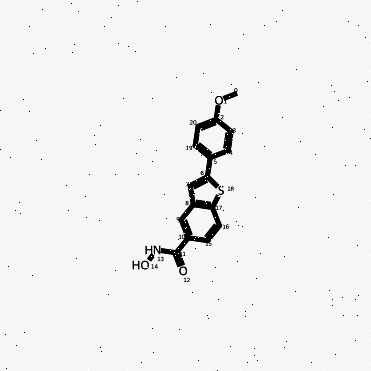 COc1ccc(-c2cc3cc(C(=O)NO)ccc3s2)cc1